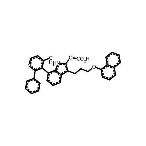 Cc1ccnc(-c2ccccc2)c1-c1cccc2c(CCCOc3cccc4ccccc34)c(OC(=O)O)[nH]c12